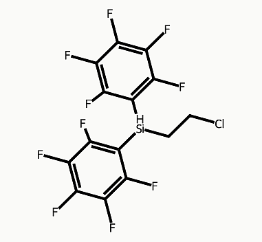 Fc1c(F)c(F)c([SiH](CCCl)c2c(F)c(F)c(F)c(F)c2F)c(F)c1F